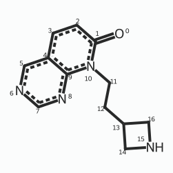 O=c1ccc2cncnc2n1CCC1CNC1